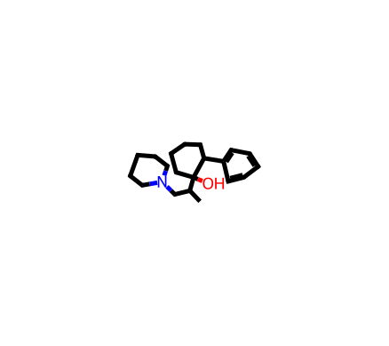 CC(CN1CCCCC1)C1(O)CCCCC1c1ccccc1